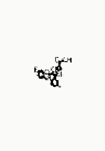 C#CC(=O)C1CC(Nc2c(C#N)c(=O)n(Cc3ccc(F)cc3)c3ccc(F)cc23)C1